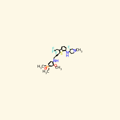 CCP(=O)(CC)c1ccc(NCC#Cc2sc3c(NC4CCN(C)CC4F)cccc3c2CC(F)(F)F)c(OC)c1